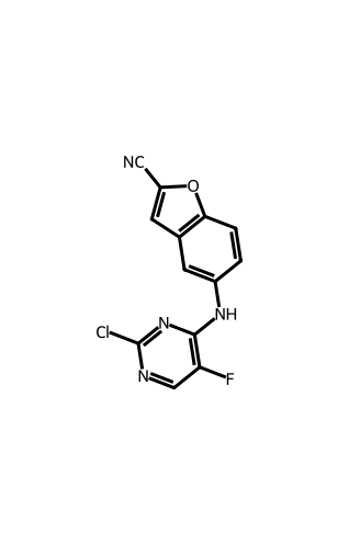 N#Cc1cc2cc(Nc3nc(Cl)ncc3F)ccc2o1